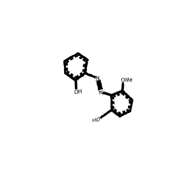 COc1cccc(O)c1N=Nc1ccccc1O